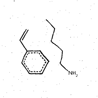 C=Cc1ccccc1.CCCCCN